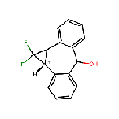 OC1c2ccccc2C2[C@H](c3ccccc31)C2(F)F